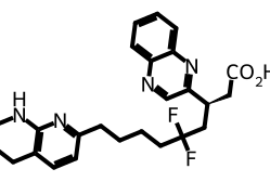 O=C(O)C[C@@H](CC(F)(F)CCCCc1ccc2c(n1)NCCC2)c1cnc2ccccc2n1